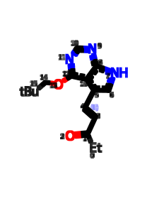 CCC(=O)/C=C/c1c[nH]c2ncnc(OCC(C)(C)C)c12